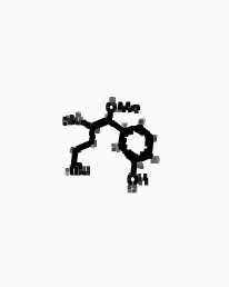 COC(=C(CCC(C)(C)C)C(C)(C)C)c1cccc(O)c1